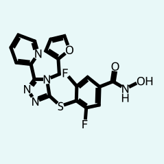 O=C(NO)c1cc(F)c(Sc2nnc(-c3ccccn3)n2Cc2ccco2)c(F)c1